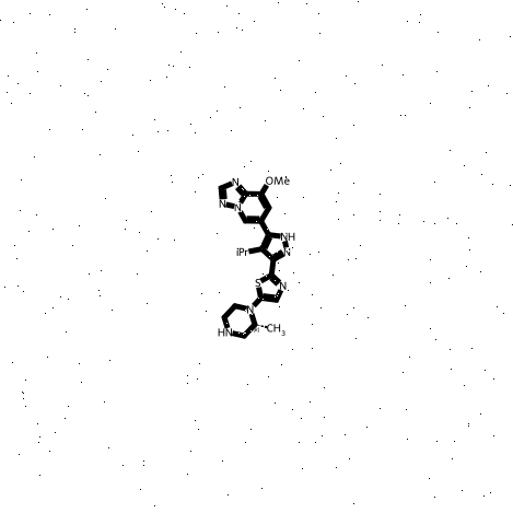 COc1cc(-c2[nH]nc(-c3ncc(N4CCNC[C@H]4C)s3)c2C(C)C)cn2ncnc12